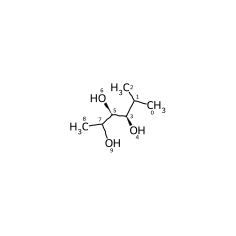 CC(C)[C@@H](O)[C@H](O)C(C)O